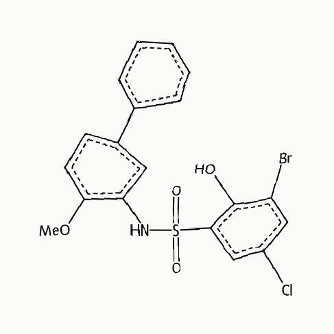 COc1ccc(-c2ccccc2)cc1NS(=O)(=O)c1cc(Cl)cc(Br)c1O